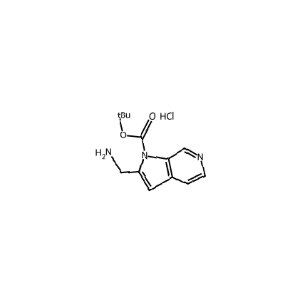 CC(C)(C)OC(=O)n1c(CN)cc2ccncc21.Cl